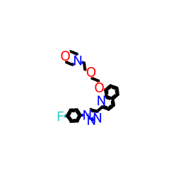 Fc1ccc(-n2cc(-c3ccc4cccc(OCCOCCN5CCOCC5)c4n3)nn2)cc1